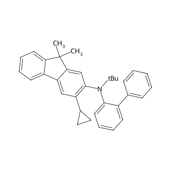 CC1(C)c2ccccc2-c2cc(C3CC3)c(N(c3ccccc3-c3ccccc3)C(C)(C)C)cc21